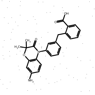 CC1(C)Oc2cc(N)ccc2N(c2cccc(Cc3ccccc3C(=O)O)c2)C1=O